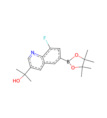 CC(C)(O)c1cnc2c(F)cc(B3OC(C)(C)C(C)(C)O3)cc2c1